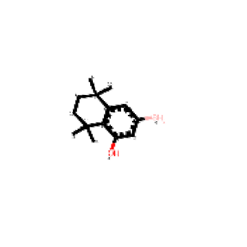 Bc1cc(O)c2c(c1)C(C)(C)CCC2(C)C